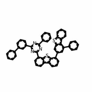 c1ccc(-c2cccc(-c3nc(-c4ccccc4)nc(-c4cccc5c4sc4c(-c6cc(-c7ccccc7)c7c(c6)sc6ccccc67)cccc45)n3)c2)cc1